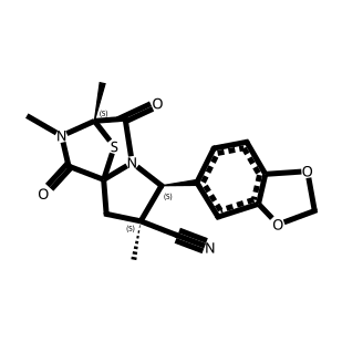 CN1C(=O)C23C[C@](C)(C#N)[C@H](c4ccc5c(c4)OCO5)N2C(=O)[C@]1(C)S3